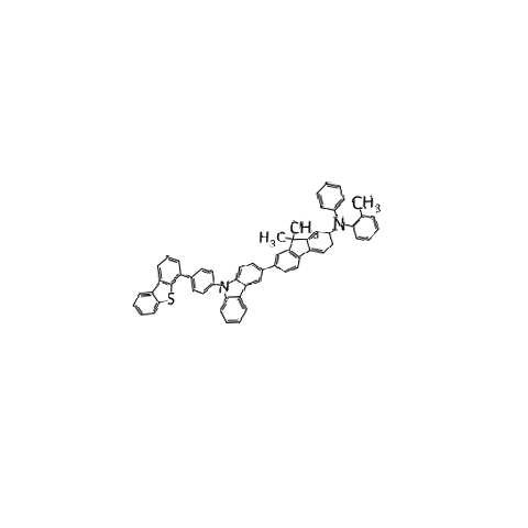 CC1C=CC=CC1N(c1ccccc1)C1C=C2C(=CC1)c1ccc(-c3ccc4c(c3)c3ccccc3n4-c3ccc(-c4cccc5c4sc4ccccc45)cc3)cc1C2(C)C